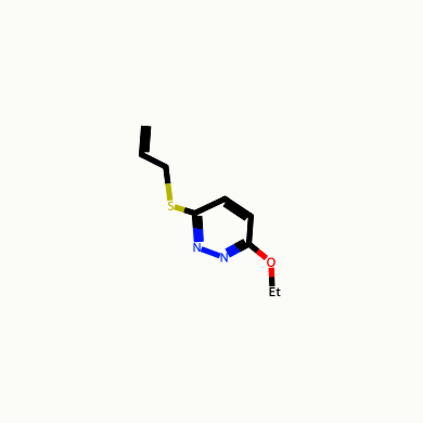 C=CCSc1ccc(OCC)nn1